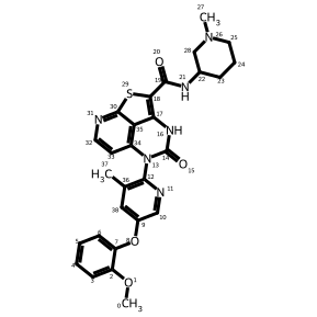 COc1ccccc1Oc1cnc(N2C(=O)Nc3c(C(=O)NC4CCCN(C)C4)sc4nccc2c34)c(C)c1